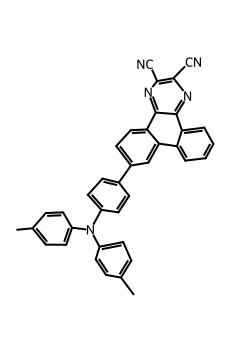 Cc1ccc(N(c2ccc(C)cc2)c2ccc(-c3ccc4c(c3)c3ccccc3c3nc(C#N)c(C#N)nc43)cc2)cc1